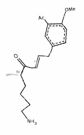 COc1ccc(C/C=C/C(=O)[C@@H](C)CCCCN)cc1C(C)=O